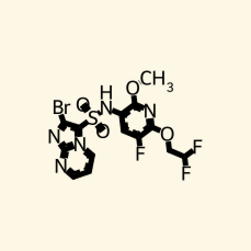 COc1nc(OCC(F)F)c(F)cc1NS(=O)(=O)c1c(Br)nc2ncccn12